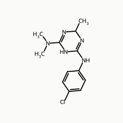 CC1N=C(Nc2ccc(Cl)cc2)NC(N(C)C)=N1